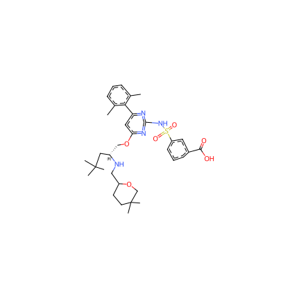 Cc1cccc(C)c1-c1cc(OC[C@@H](CC(C)(C)C)NCC2CCC(C)(C)CO2)nc(NS(=O)(=O)c2cccc(C(=O)O)c2)n1